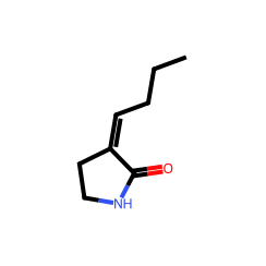 CCCC=C1CCNC1=O